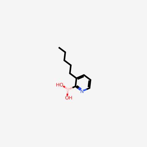 CCCCCc1cccnc1B(O)O